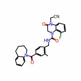 Cc1cc(C(=O)N2CCCCc3ccccc32)ccc1CNC(=O)N1CC(=O)N(CC#N)c2cccc(F)c21